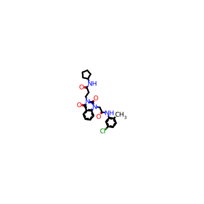 Cc1ccc(Cl)cc1NC(=O)Cn1c(=O)n(CCC(=O)NC2CCCC2)c(=O)c2ccccc21